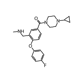 CNCc1cc(C(=O)N2CCN(C3CC3)CC2)ccc1Oc1ccc(F)cc1